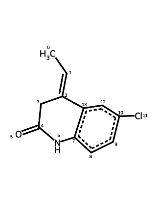 C/C=C1\CC(=O)Nc2ccc(Cl)cc21